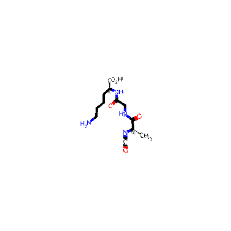 C[C@H](N=C=O)C(=O)NCC(=O)N[C@@H](CCCCN)C(=O)O